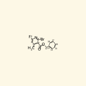 Cc1cc(F)nc(Br)c1C(=O)OCc1ccccc1